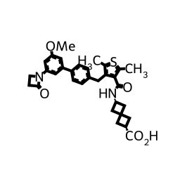 COc1cc(-c2ccc(Cc3c(C)sc(C)c3C(=O)N[C@H]3CC4(C3)C[C@H](C(=O)O)C4)cc2)cc(N2CCC2=O)c1